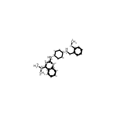 CSc1ccccc1CN[C@H]1CC[C@@H](Nc2nc(N(C)C)c3ccccc3n2)CC1